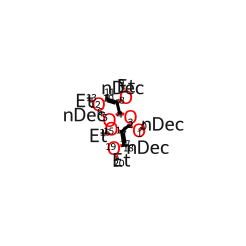 CCCCCCCCCCOC(OC(OCCCCCCCCCC)C(OCC)=C(CCCCCCCCCC)OCC)C(OCC)=C(CCCCCCCCCC)OCC